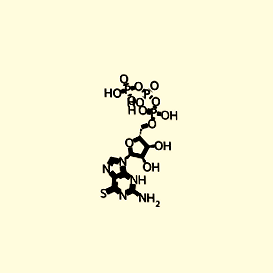 Nc1nc(=S)c2ncn([C@H]3O[C@H](COP(=O)(O)OP(=O)(O)OP(=O)(O)O)[C@@H](O)[C@H]3O)c2[nH]1